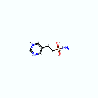 NS(=O)(=O)CCc1cncnc1